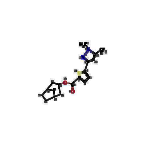 Cn1nc(-c2ccc(C(=O)OC3CC4CCC(C4)C3)s2)cc1C(F)(F)F